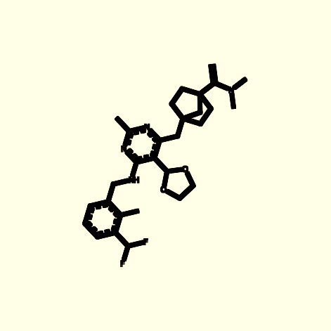 C=C(N(C)C)C12CCC(Cc3nc(C)nc(NCc4cccc(C(F)F)c4C)c3C3OCCO3)(CC1)C2